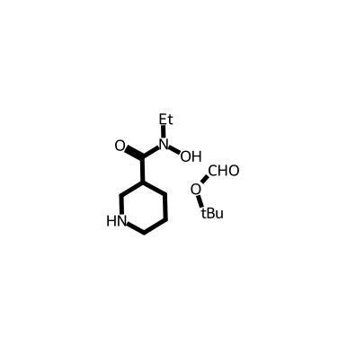 CC(C)(C)OC=O.CCN(O)C(=O)C1CCCNC1